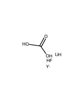 F.O=C(O)O.[LiH].[Y]